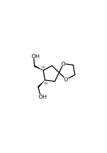 OC[C@@H]1CC2(C[C@@H]1CO)OCCO2